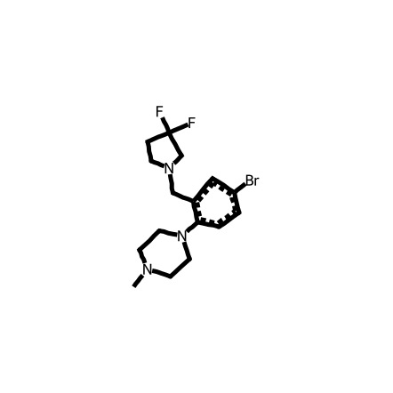 CN1CCN(c2ccc(Br)cc2CN2CCC(F)(F)C2)CC1